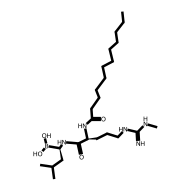 CCCCCCCCCCCC(=O)N[C@@H](CCCNC(=N)NC)C(=O)N[C@@H](CC(C)C)B(O)O